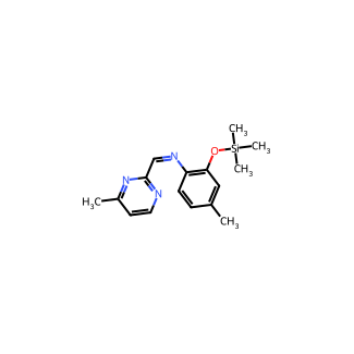 Cc1ccc(/N=C\c2nccc(C)n2)c(O[Si](C)(C)C)c1